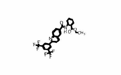 CCOC(=O)c1ccccc1NC(=O)c1ccc2nc(-c3cc(C(F)(F)F)cc(C(F)(F)F)c3)ccc2c1